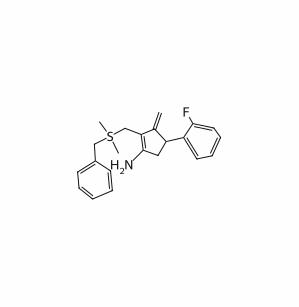 C=C1C(CS(C)(C)Cc2ccccc2)=C(N)CC1c1ccccc1F